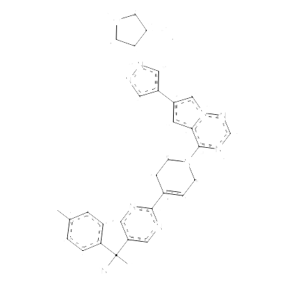 CC(N)(c1ccc(F)cc1)c1cnc(C2=CCN(c3ncnn4cc(-c5cnn([C@@H]6COC[C@@H]6O)c5)cc34)CC2)nc1